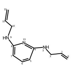 C=CCNc1cccc(NCC=C)n1